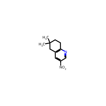 CC1(C)CCc2ncc([N+](=O)[O-])cc2C1